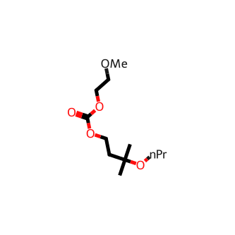 CCCOC(C)(C)CCOC(=O)OCCOC